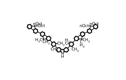 CCCCCCCCC1(CCCCCCCC)c2ccccc2-c2ccc(-c3ccc4c(c3)C(C)(C)c3cc(-c5cc(C)c(-c6ccc7[nH]c8ccc(-c9c(C)cc(-c%10ccc%11c(c%10)C(C)(C)c%10cc(-c%12ccc%13c(c%12)C(CCCCCCCC)(CCCCCCCC)c%12ccccc%12-%13)ccc%10-%11)cc9C)cc8c7c6)c(C)c5)ccc3-4)cc21